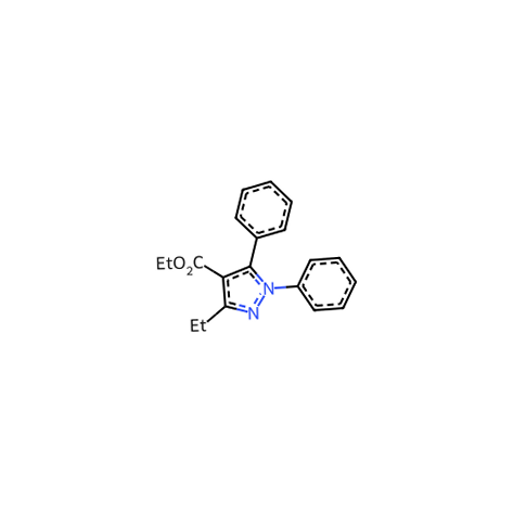 CCOC(=O)c1c(CC)nn(-c2ccccc2)c1-c1ccccc1